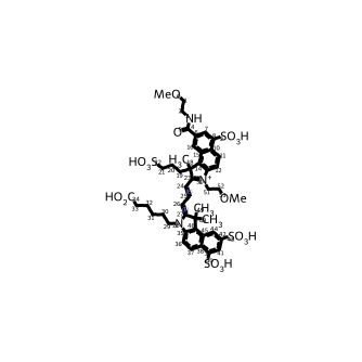 COCCNC(=O)c1cc(S(=O)(=O)O)c2ccc3c(c2c1)C(C)(CCCS(=O)(=O)O)C(/C=C/C=C1/N(CCCCCC(=O)O)c2ccc4c(S(=O)(=O)O)cc(S(=O)(=O)O)cc4c2C1(C)C)=[N+]3CCOC